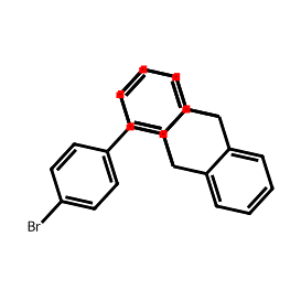 Brc1ccc(-c2cccc3c2C2c4ccccc4C3c3ccccc32)cc1